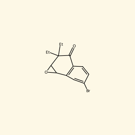 CCC1(CC)C(=O)c2ccc(Br)cc2C2OC21